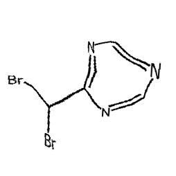 BrC(Br)c1ncncn1